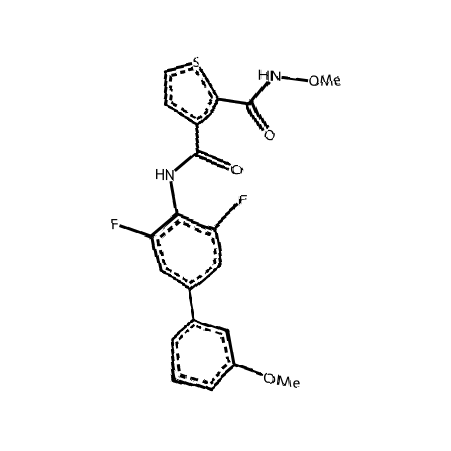 CONC(=O)c1sccc1C(=O)Nc1c(F)cc(-c2cccc(OC)c2)cc1F